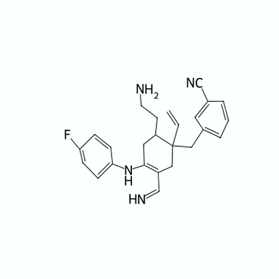 C=CC1(Cc2cccc(C#N)c2)CC(C=N)=C(Nc2ccc(F)cc2)CC1CCN